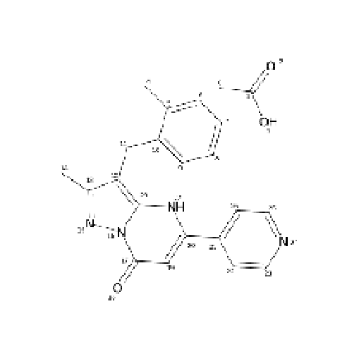 CC(=O)O.Cc1ccccc1Cc1c(C)nn2c(=O)cc(-c3ccncc3)[nH]c12